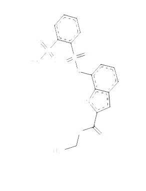 CCOC(=O)c1cc2cccc(NS(=O)(=O)c3ccccc3S(C)(=O)=O)c2[nH]1